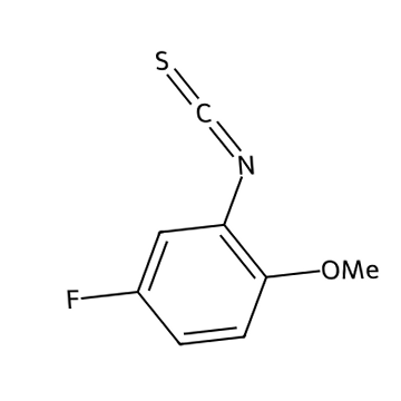 COc1ccc(F)cc1N=C=S